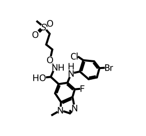 Cn1cnc2c(F)c(Nc3ccc(Br)cc3Cl)c(C(O)NOCCCS(C)(=O)=O)cc21